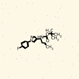 C=CCC(NC(=O)OC(C)(C)C)c1cnn(-c2ccc(F)cc2)c1